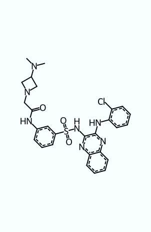 CN(C)C1CN(CC(=O)Nc2cccc(S(=O)(=O)Nc3nc4ccccc4nc3Nc3ccccc3Cl)c2)C1